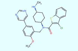 CN[C@H]1CC[C@@H](N(Cc2cc(-c3cncnc3)ccc2OC)C(=O)c2sc3ccccc3c2Cl)CC1